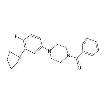 O=C(c1ccccc1)N1CCN(c2ccc(F)c(N3CCCC3)c2)CC1